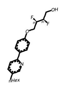 CCCCCCc1ccc(-c2ccc(OC[C@@H](F)[C@H](F)CO)cc2)nc1